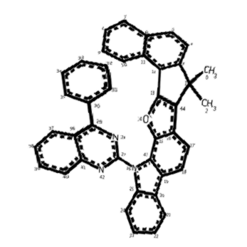 CC1(C)c2ccc3ccccc3c2-c2oc3c(ccc4c5ccccc5n(-c5nc(-c6ccccc6)c6ccccc6n5)c43)c21